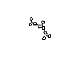 c1ccc(C2c3ccccc3-c3cc(-c4ccc5c6cc(-c7ccc(N(c8ccccc8)c8ccccc8)cc7)ccc6n(-c6ccccc6)c5c4)ccc32)cc1